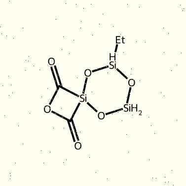 CC[SiH]1O[SiH2]O[Si]2(O1)C(=O)OC2=O